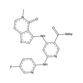 CNC(=O)c1cnc(Nc2ccc(F)cn2)cc1Nc1csc2ccn(C)c(=O)c12